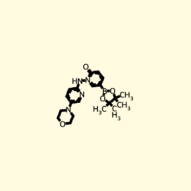 CC1(C)OB(c2ccc(=O)n(Nc3ccc(N4CCOCC4)cn3)c2)OC1(C)C